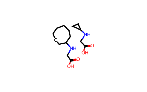 O=C(O)CNC1CC1.O=C(O)CNC1CCCCCCC1